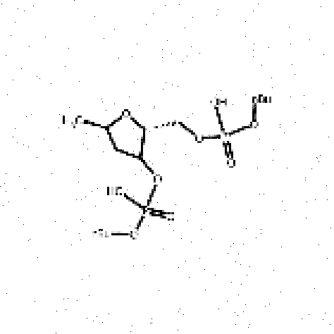 CCCCOP(=O)(O)OC[C@H]1O[C@H](C)CC1OP(=O)(O)OCCCC